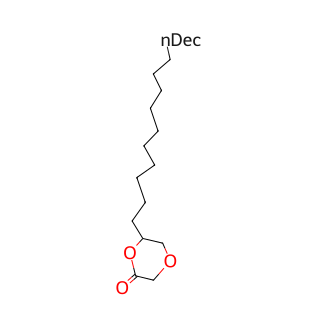 CCCCCCCCCCCCCCCCCCCCC1COCC(=O)O1